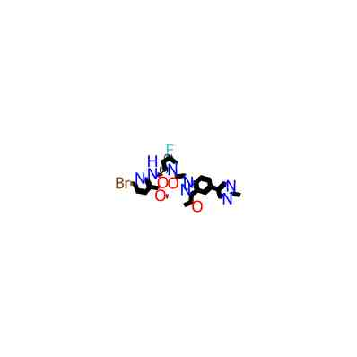 COCc1ccc(Br)nc1NC(=O)[C@@H]1C[C@@H](F)CN1C(=O)Cn1nc(C(C)=O)c2cc(-c3cnc(C)nc3)ccc21